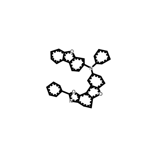 c1ccc(-c2nc3ccc4oc5ccc(N(c6ccccc6)c6ccc7c(c6)oc6ccccc67)cc5c4c3o2)cc1